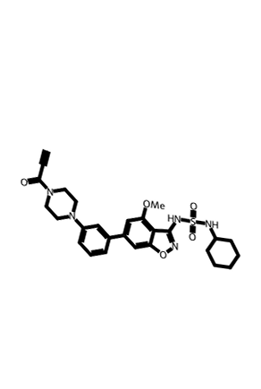 C#CC(=O)N1CCN(c2cccc(-c3cc(OC)c4c(NS(=O)(=O)NC5CCCCC5)noc4c3)c2)CC1